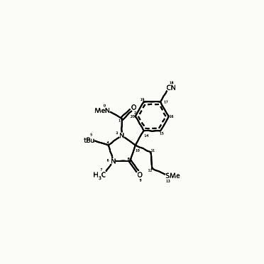 CNC(=O)N1C(C(C)(C)C)N(C)C(=O)C1(CCSC)c1ccc(C#N)cc1